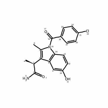 Cc1c([C@H](C)C(N)=O)c2cc(O)ccc2n1C(=O)c1ccc(Cl)cc1